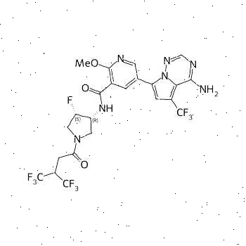 COc1ncc(-c2cc(C(F)(F)F)c3c(N)ncnn23)cc1C(=O)N[C@@H]1CN(C(=O)CC(C(F)(F)F)C(F)(F)F)C[C@@H]1F